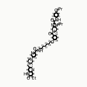 CCc1cc2ncc(CN3CCN(c4ccc(C(=O)NCCCCCCCOc5cccc(C(=O)N6CCc7c(nc(C(=O)Nc8ccc(OC(C)C)cc8)n7C(C)C)C6)c5)nc4)CC3)cc2[nH]c1=O